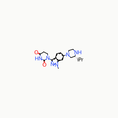 CC(C)[C@@H]1CN(c2ccc3c(N4CCC(=O)NC4=O)nn(C)c3c2)CCN1